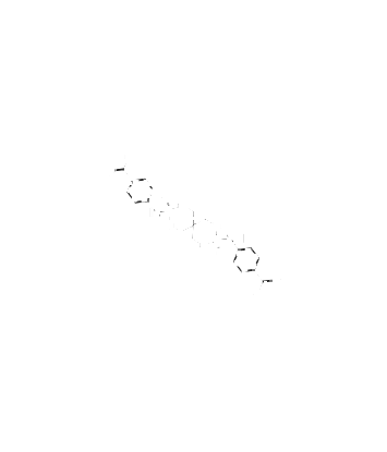 O=C(O)c1ccc(NP2(=O)OCC3(CO2)COP(=O)(Nc2ccc(C(=O)O)cc2)OC3)cc1